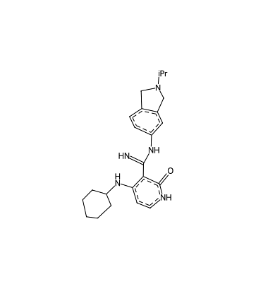 CC(C)N1Cc2ccc(NC(=N)c3c(NC4CCCCC4)cc[nH]c3=O)cc2C1